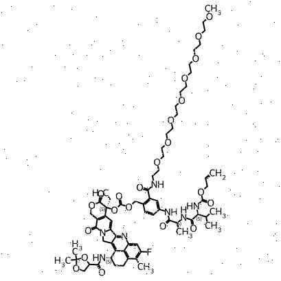 C=CCOC(=O)N[C@H](C(=O)N[C@@H](C)C(=O)Nc1ccc(COC(=O)O[C@]2(CC)C(=O)OCc3c2cc2n(c3=O)Cc3c-2nc2cc(F)c(C)c4c2c3[C@@H](NC(=O)C2COC(C)(C)O2)CC4)c(C(=O)NCCOCCOCCOCCOCCOCCOCCOCCOC)c1)C(C)C